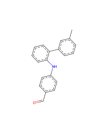 Cc1cccc(-c2ccccc2Nc2ccc(C=O)cc2)c1